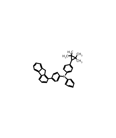 CC1(C)C(c2ccc(N(c3ccccc3)c3ccc(-c4cccc5c4Cc4ccccc4-5)cc3)cc2)C1(C)C